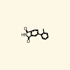 Cc1ccccc1-c1ccc2c(c1)C(=O)NC2=O